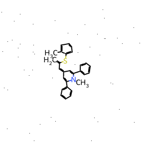 C=C(C=C1C=C(c2ccccc2)N(C)C(c2ccccc2)=C1)Sc1ccccc1C